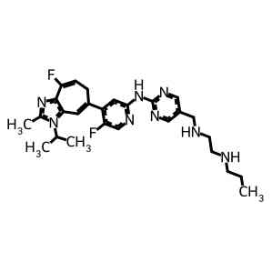 CCCNCCNCc1cnc(Nc2cc(C3=Cc4c(nc(C)n4C(C)C)C(F)=CC3)c(F)cn2)nc1